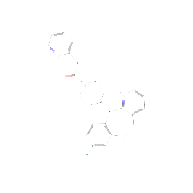 O=C(Cc1ccccn1)N1CCC(C2c3ccc(Cl)cc3CCc3cccnc32)CC1